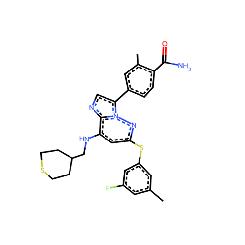 Cc1cc(F)cc(Sc2cc(NCC3CCSCC3)c3ncc(-c4ccc(C(N)=O)c(C)c4)n3n2)c1